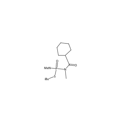 CCC(C)SP(=O)(NC)N(C)C(=O)C1CCCCC1